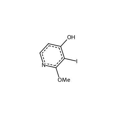 COc1nccc(O)c1I